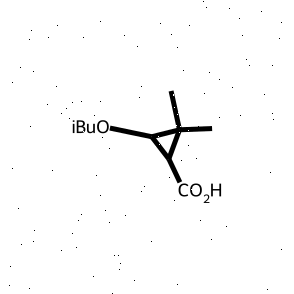 CC(C)COC1C(C(=O)O)C1(C)C